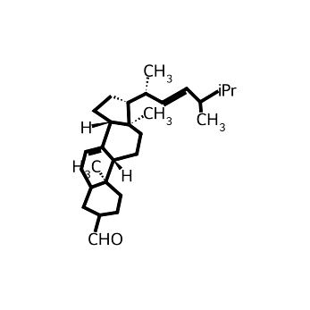 CC(C)C(C)C=C[C@@H](C)[C@H]1CC[C@H]2C3=CCC4CC(C=O)CC[C@]4(C)[C@H]3CC[C@]12C